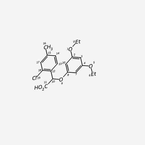 CCOc1cc(OCC)cc(OC(C(=O)O)c2ccc(C)cc2Cl)c1